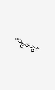 COc1ccccc1C(=O)NCc1ccc(-c2nn(C3CCC(O)CC3)c3ccncc23)cc1